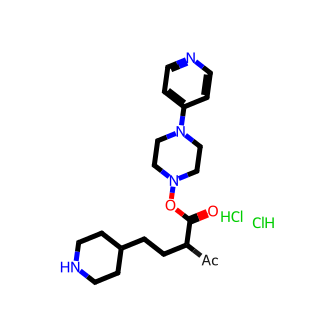 CC(=O)C(CCC1CCNCC1)C(=O)ON1CCN(c2ccncc2)CC1.Cl.Cl